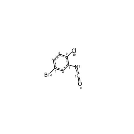 O=C=Nc1cc(Br)ccc1Cl